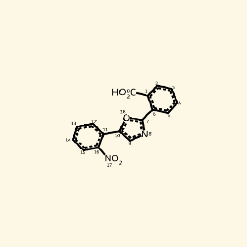 O=C(O)c1ccccc1-c1ncc(-c2ccccc2[N+](=O)[O-])o1